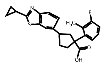 Cc1c(F)cccc1C1(C(=O)O)CCC(c2ccc3nc(C4CC4)sc3c2)C1